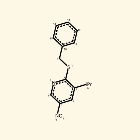 CC(C)c1cc([N+](=O)[O-])cnc1SCc1ccccc1